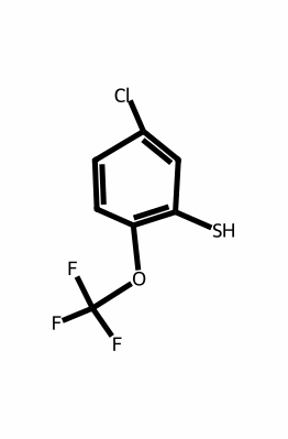 FC(F)(F)Oc1ccc(Cl)cc1S